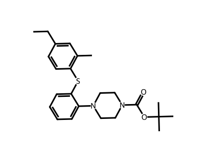 CCc1ccc(Sc2ccccc2N2CCN(C(=O)OC(C)(C)C)CC2)c(C)c1